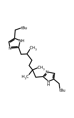 CC(CCC(C)(C)Cc1ncc(CC(C)(C)C)[nH]1)Cc1ncc(CC(C)(C)C)[nH]1